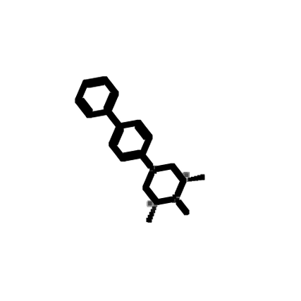 C[C@@H]1CN(c2ccc(-c3ccccc3)cc2)C[C@H](C)N1C